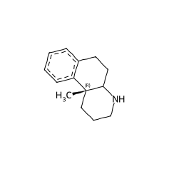 C[C@]12CCCNC1CCc1ccccc12